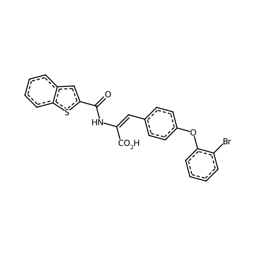 O=C(O)C(=Cc1ccc(Oc2ccccc2Br)cc1)NC(=O)c1cc2ccccc2s1